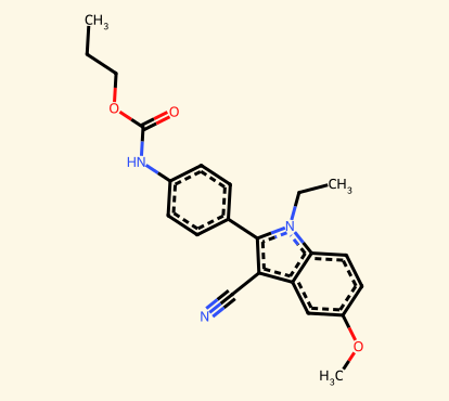 CCCOC(=O)Nc1ccc(-c2c(C#N)c3cc(OC)ccc3n2CC)cc1